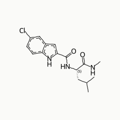 CNC(=O)[C@H](CC(C)C)NC(=O)c1cc2cc(Cl)ccc2[nH]1